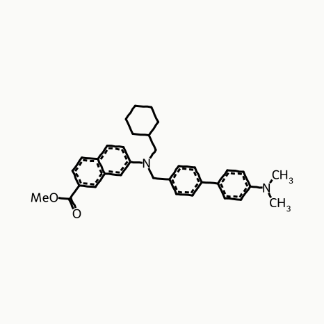 COC(=O)c1ccc2ccc(N(Cc3ccc(-c4ccc(N(C)C)cc4)cc3)CC3CCCCC3)cc2c1